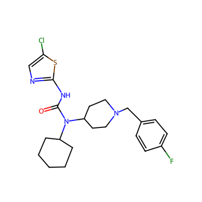 O=C(Nc1ncc(Cl)s1)N(C1CCCCC1)C1CCN(Cc2ccc(F)cc2)CC1